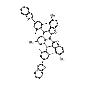 Cc1cc(-c2cc3ccccc3o2)cc(C)c1N1c2cc(C(C)(C)C)cc3c2B(c2oc4ccc(C(C)(C)C)cc4c21)c1oc2ccc(C(C)(C)C)cc2c1N3c1c(C)cc(-c2cc3ccccc3o2)cc1C